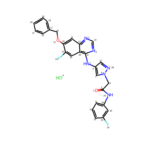 Cl.O=C(Cn1cc(Nc2ncnc3cc(OCc4ccccc4)c(F)cc23)cn1)Nc1cccc(F)c1